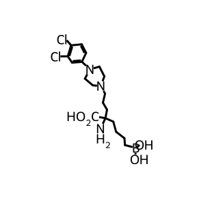 NC(CCCCB(O)O)(CCCN1CCN(c2ccc(Cl)c(Cl)c2)CC1)C(=O)O